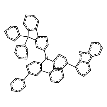 c1ccc(-c2ccc(N(c3ccc(-c4cccc5c4sc4ccccc45)cc3)c3ccc4c(c3)C(c3ccccc3)(c3ccccc3)c3ccccc3-4)c(-c3ccccc3)c2)cc1